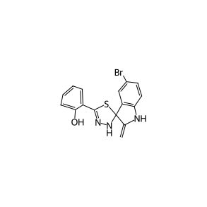 C=C1Nc2ccc(Br)cc2C12NN=C(c1ccccc1O)S2